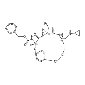 CC(C)C[C@@H]1NC(=O)[C@@H](NC(=O)OCc2ccccc2)Cc2ccc(cc2)OCCCC[C@@H](CNC2CC2)NC1=O